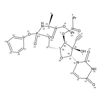 C#C[C@@]1(O)[C@H](OC(=O)C(C)C)[C@@H](COP(=O)(N[C@@H](C)C(=O)OC(C)C)Oc2ccccc2)O[C@H]1n1ccc(=O)[nH]c1=O